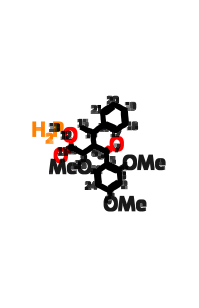 COc1cc(OC)c(C(=O)C(CC(=O)OP)C(C)c2ccccc2)c(OC)c1